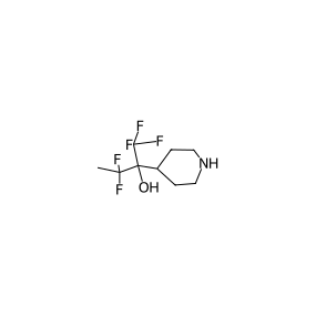 CC(F)(F)C(O)(C1CCNCC1)C(F)(F)F